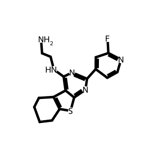 NCCNc1nc(-c2ccnc(F)c2)nc2sc3c(c12)CCCC3